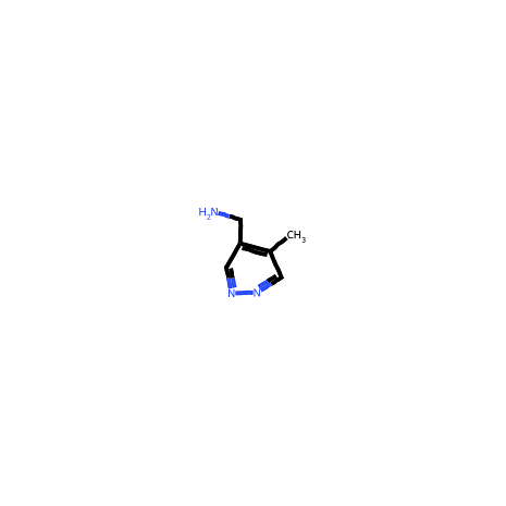 Cc1cnncc1CN